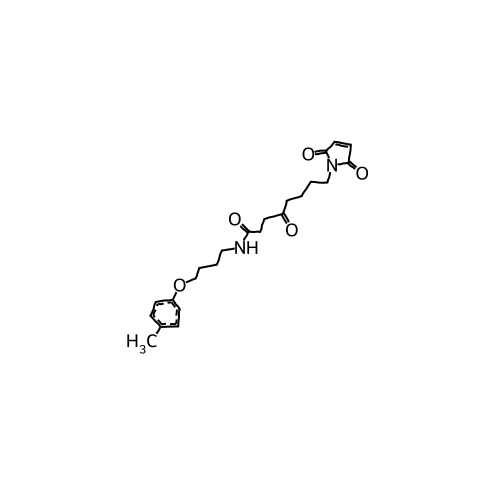 Cc1ccc(OCCCCNC(=O)CCC(=O)CCCCN2C(=O)C=CC2=O)cc1